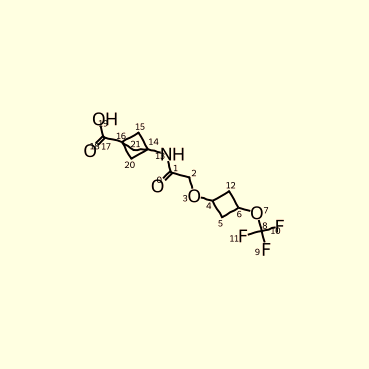 O=C(COC1CC(OC(F)(F)F)C1)NC12CC(C(=O)O)(C1)C2